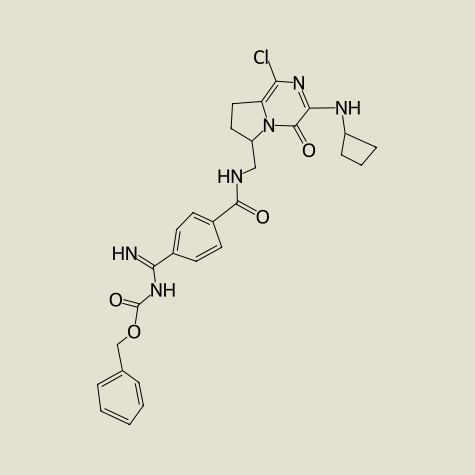 N=C(NC(=O)OCc1ccccc1)c1ccc(C(=O)NCC2CCc3c(Cl)nc(NC4CCC4)c(=O)n32)cc1